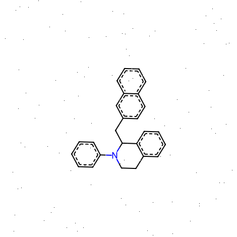 c1ccc(N2CCc3ccccc3C2Cc2ccc3ccccc3c2)cc1